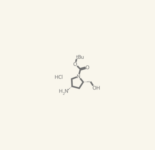 CC(C)(C)OC(=O)N1C[C@@H](N)C[C@H]1CO.Cl